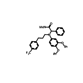 CNC(=O)C(c1ccccc1)N(CCCc1ccc(C(F)(F)F)cc1)c1ccc(OC(C)C)c(OC(C)C)c1